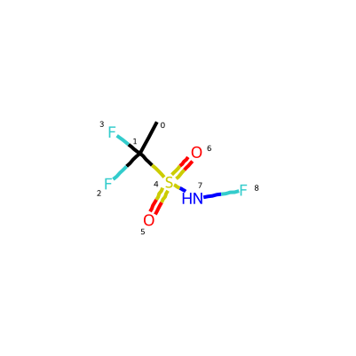 CC(F)(F)S(=O)(=O)NF